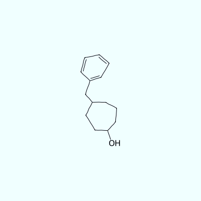 OC1CCCC(Cc2ccccc2)CC1